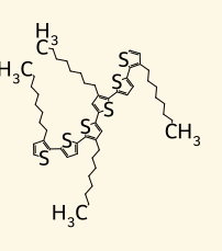 CCCCCCCCc1ccsc1-c1ccc(-c2sc(-c3cc(CCCCCCCC)c(-c4ccc(-c5sccc5CCCCCCCC)s4)s3)cc2CCCCCCCC)s1